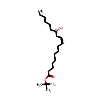 CCCCCC[C@@H](O)C/C=C\CCCCCCCC(=O)OC(C)(C)C